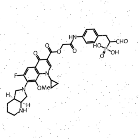 COc1c(N2C[C@@H]3CCCN[C@@H]3C2)c(F)cc2c(=O)c(C(=O)OCC(=O)Nc3ccc(CC(C=O)P(=O)(O)O)cc3)cn(C3CC3)c12